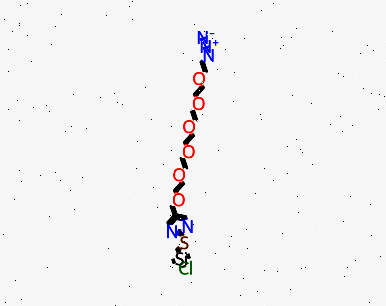 C[Si](C)(Cl)CSc1ncc(COCCOCCOCCOCCOCCOCCN=[N+]=[N-])cn1